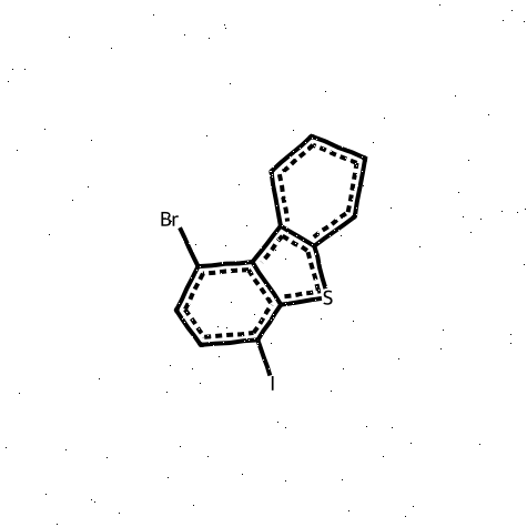 Brc1ccc(I)c2sc3ccccc3c12